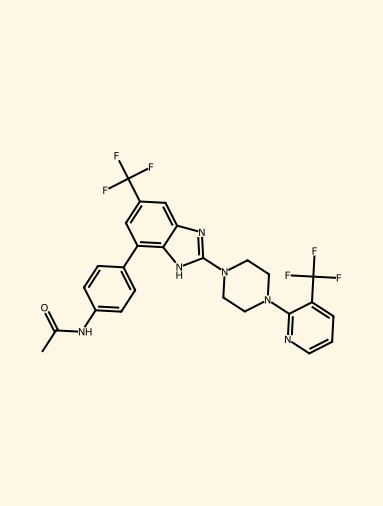 CC(=O)Nc1ccc(-c2cc(C(F)(F)F)cc3nc(N4CCN(c5ncccc5C(F)(F)F)CC4)[nH]c23)cc1